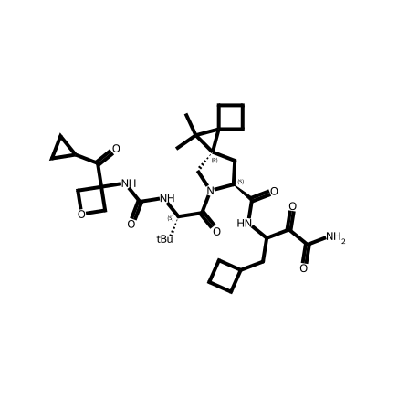 CC(C)(C)[C@H](NC(=O)NC1(C(=O)C2CC2)COC1)C(=O)N1C[C@]2(C[C@H]1C(=O)NC(CC1CCC1)C(=O)C(N)=O)C(C)(C)C21CCC1